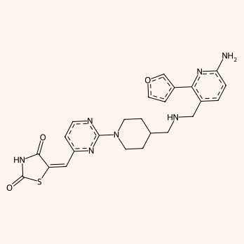 Nc1ccc(CNCC2CCN(c3nccc(C=C4SC(=O)NC4=O)n3)CC2)c(-c2ccoc2)n1